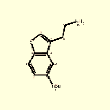 CCCCc1ccc2scc(CCN)c2c1